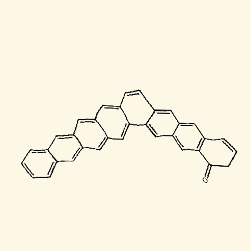 O=C1CC=Cc2cc3cc4ccc5cc6cc7cc8ccccc8cc7cc6cc5c4cc3cc21